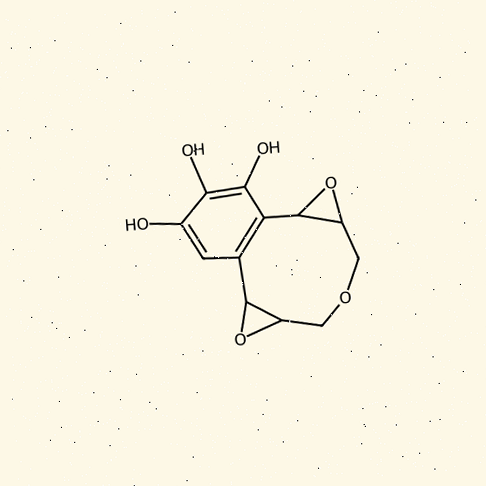 Oc1cc2c(c(O)c1O)C1OC1COCC1OC21